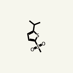 CC(C)c1ccc(S(C)(=O)=O)s1